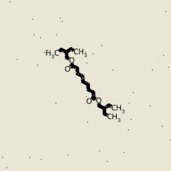 CCC(CC)COC(=O)CCCCCCCC(=O)OCC(CC)CC